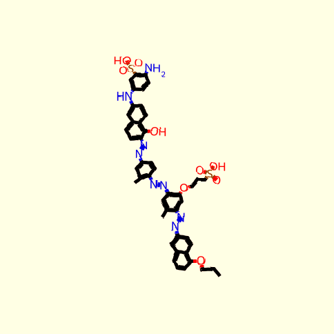 CCCOc1cccc2cc(N=Nc3cc(OCCCS(=O)(=O)O)c(N=Nc4ccc(N=Nc5ccc6cc(Nc7ccc(N)c(S(=O)(=O)O)c7)ccc6c5O)cc4C)cc3C)ccc12